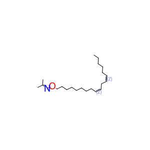 CCCCC/C=C\C/C=C\CCCCCCCCON=C(C)C